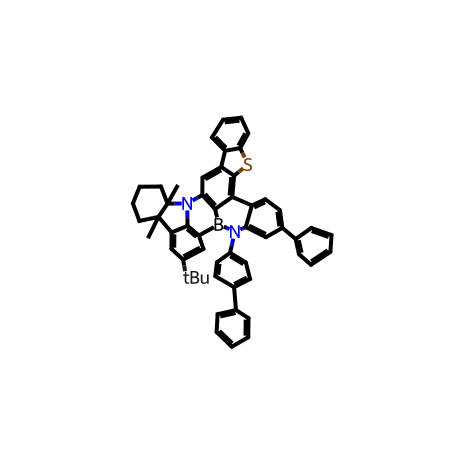 CC(C)(C)c1cc2c3c(c1)C1(C)CCCCC1(C)N3c1cc3c(sc4ccccc43)c3c1B2N(c1ccc(-c2ccccc2)cc1)c1cc(-c2ccccc2)ccc1-3